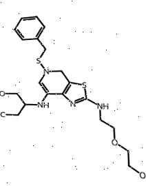 CCC(CO)NC1=CN(SCc2ccccc2)Cc2sc(NCCOCCO)nc21